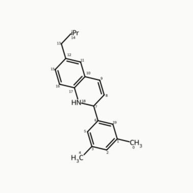 Cc1cc(C)cc(C2C=Cc3cc(CC(C)C)ccc3N2)c1